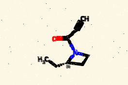 C#CC(=O)N1CC[C@@H]1CC